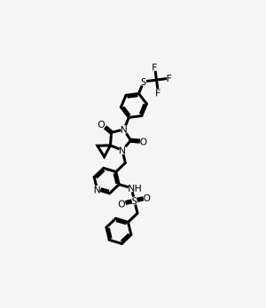 O=C1N(c2ccc(SC(F)(F)F)cc2)C(=O)C2(CC2)N1Cc1ccncc1NS(=O)(=O)Cc1ccccc1